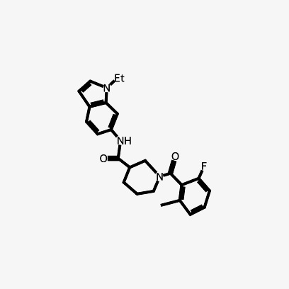 CCn1ccc2ccc(NC(=O)C3CCCN(C(=O)c4c(C)cccc4F)C3)cc21